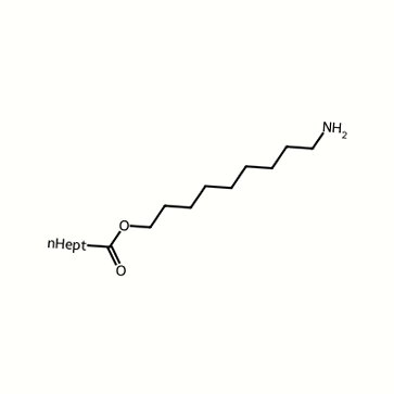 CCCCCCCC(=O)OCCCCCCCCCN